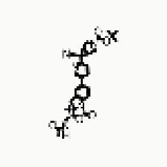 CC(=O)NC[C@@H]1OC(=O)N2c3ccc(-c4ccc(C5(C#N)C6CN(C(=O)OC(C)(C)C)CC65)nc4)cc3C[C@@H]12